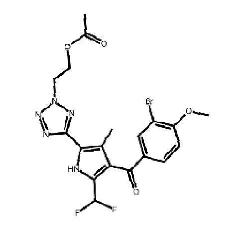 COc1ccc(C(=O)c2c(C(F)F)[nH]c(-c3nnn(CCOC(C)=O)n3)c2C)cc1Br